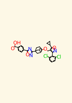 O=C(O)c1ccc(-c2nc(C34CCC(OCc5c(-c6c(Cl)cccc6Cl)noc5C5CC5)(CC3)CC4)no2)cc1